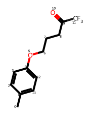 Cc1ccc(OCCCC(=O)C(F)(F)F)cc1